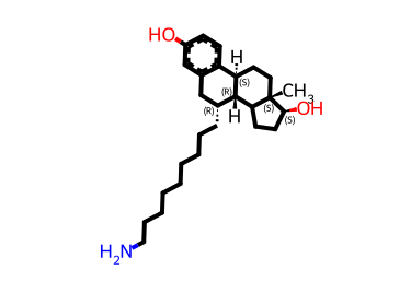 C[C@]12CC[C@@H]3c4ccc(O)cc4C[C@@H](CCCCCCCCCN)[C@H]3C1CC[C@@H]2O